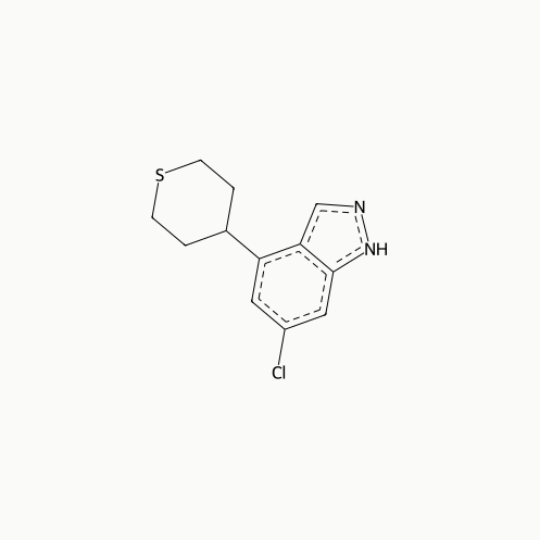 Clc1cc(C2CCSCC2)c2cn[nH]c2c1